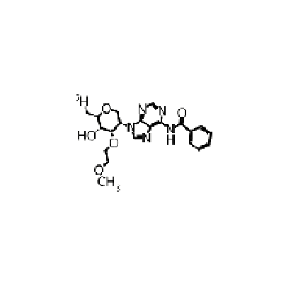 [2H]C[C@H]1OC[C@@H](n2cnc3c(NC(=O)c4ccccc4)ncnc32)[C@H](OCCOC)[C@@H]1O